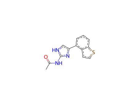 CC(=O)Nc1nc(-c2cccc3sccc23)c[nH]1